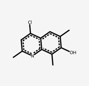 Cc1cc(Cl)c2cc(C)c(O)c(C)c2n1